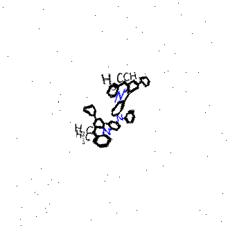 CC1(C)c2ccccc2-n2c3ccc(N(c4ccccc4)c4ccc5c(c4)c4cc(-c6ccccc6)cc6c4n5-c4ccccc4C6(C)C)cc3c3cc(-c4ccccc4)cc1c32